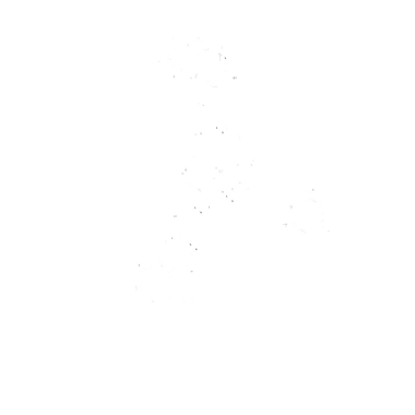 CCOc1cccc(F)c1CN1CCN(C(=O)[C@H](NC(=O)OCc2ccccc2)C2CCN(CCc3c[nH]c4ccccc34)CC2)CC1